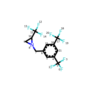 FC(F)(F)c1cc(CN2CC2C(F)(F)F)cc(C(F)(F)F)c1